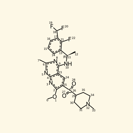 COc1nc2nc(C)nc(N[C@H](C)c3cccc(C(F)F)c3F)c2cc1S(=O)(=O)C1CCN(C)CC1